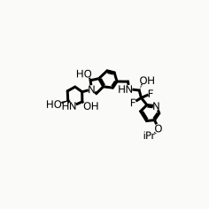 CC(C)Oc1ccc(C(F)(F)[C@@H](O)NCc2ccc3c(c2)CN(C2CC[C@H](O)N[C@@H]2O)[C@H]3O)nc1